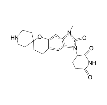 Cn1c(=O)n(C2CCC(=O)NC2=O)c2cc3c(cc21)OC1(CCNCC1)CC3